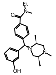 CCN(C)C(=O)c1ccc([C@H](c2cccc(O)c2)N2C[C@H](C)N(C)C[C@@H]2C)cc1